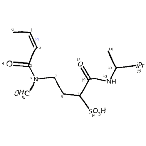 C/C=C\C(=O)N(C=O)CCC(C(=O)NC(C)C(C)C)S(=O)(=O)O